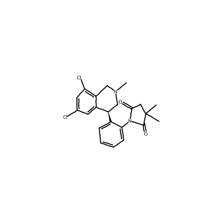 CN1Cc2c(Cl)cc(Cl)cc2[C@H](c2ccccc2N2C(=O)CC(C)(C)C2=O)C1